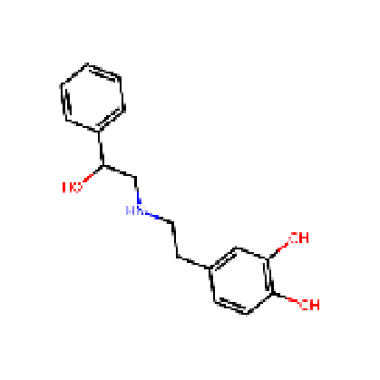 Oc1ccc(CCNCC(O)c2ccccc2)cc1O